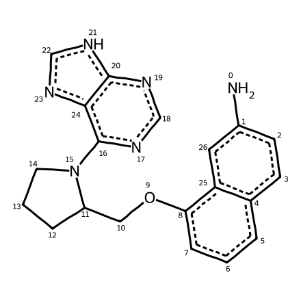 Nc1ccc2cccc(OCC3CCCN3c3ncnc4[nH]cnc34)c2c1